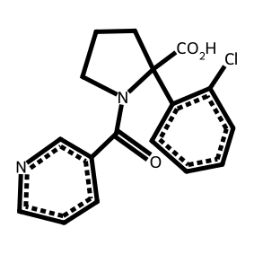 O=C(c1cccnc1)N1CCCC1(C(=O)O)c1ccccc1Cl